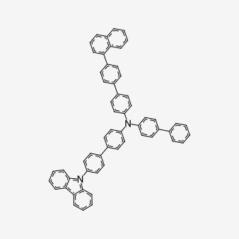 c1ccc(-c2ccc(N(c3ccc(-c4ccc(-c5cccc6ccccc56)cc4)cc3)c3ccc(-c4ccc(-n5c6ccccc6c6ccccc65)cc4)cc3)cc2)cc1